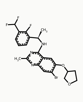 Cc1nc(N[C@H](C)c2cccc(C(F)F)c2F)c2cc(OC3CCOC3)c(Br)cc2n1